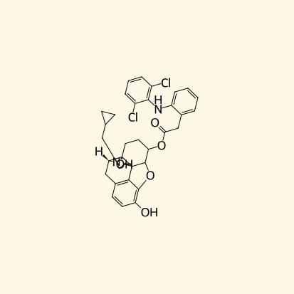 O=C(Cc1ccccc1Nc1c(Cl)cccc1Cl)OC1CC[C@@]2(O)[C@H]3Cc4ccc(O)c5c4[C@@]2(CCN3CC2CC2)C1O5